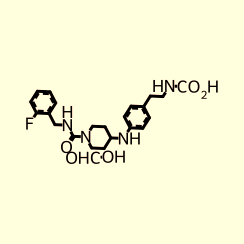 O=C(O)NCCc1ccc(NC2CCN(C(=O)NCc3ccccc3F)CC2)cc1.O=CO